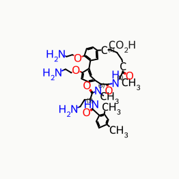 Cc1ccc(C(=O)N[C@@H](CCN)C(=O)N(C)[C@@H]2C(=O)N[C@@H](C)C(=O)CCC[C@H](C(=O)O)Cc3ccc(OCCN)c(c3)-c3cc2ccc3OCCN)c(C)c1